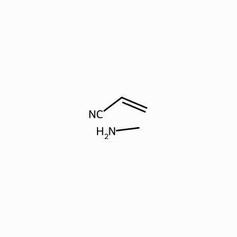 C=CC#N.CN